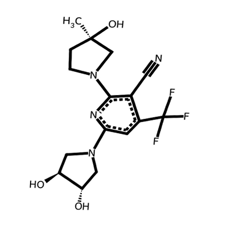 C[C@@]1(O)CCN(c2nc(N3C[C@H](O)[C@@H](O)C3)cc(C(F)(F)F)c2C#N)C1